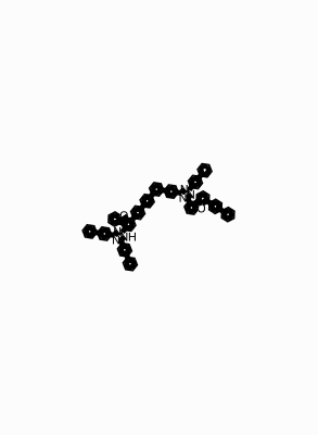 C1=CC(c2ccc(-c3nc(-c4ccc(-c5cccc(-c6ccc(-c7ccc(-c8ccc(C9N=C(c%10ccc(-c%11ccccc%11)cc%10)N=C(c%10ccc(-c%11ccccc%11)cc%10)N9)c9c8oc8ccccc89)cc7)cc6)c5)cc4)nc(-c4cccc5oc6c(-c7ccc(-c8ccccc8)cc7)cccc6c45)n3)cc2)=CCC1